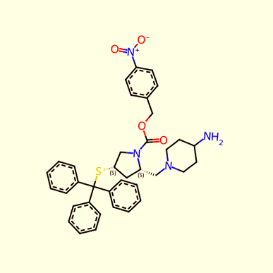 NC1CCN(C[C@@H]2C[C@H](SC(c3ccccc3)(c3ccccc3)c3ccccc3)CN2C(=O)OCc2ccc([N+](=O)[O-])cc2)CC1